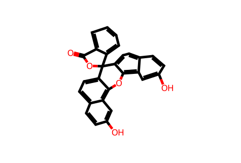 O=C1OC2(c3ccccc31)c1ccc3ccc(O)cc3c1Oc1c2ccc2ccc(O)cc12